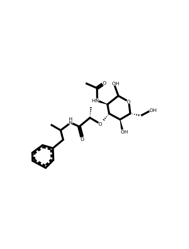 CC(=O)N[C@H]1C(O)O[C@H](CO)[C@@H](O)[C@@H]1O[C@@H](C)C(=O)NC(C)Cc1ccccc1